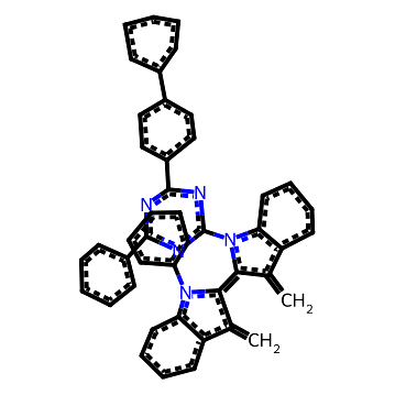 C=c1/c(=c2\c(=C)c3ccccc3n2-c2nc(-c3ccccc3)nc(-c3ccc(-c4ccccc4)cc3)n2)n(-c2ccccc2)c2ccccc12